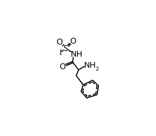 NC(Cc1ccccc1)C(=O)NS(=O)(=O)I